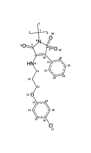 CC(C)(C)N1C(=O)C(NCCCOc2ccc(Cl)cc2)=C(c2ccccc2)S1(=O)=O